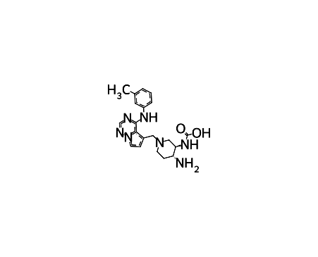 Cc1cccc(Nc2ncnn3ccc(CN4CC[C@@H](N)[C@H](NC(=O)O)C4)c23)c1